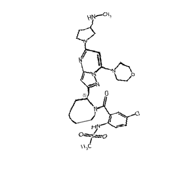 CNC1CCN(c2cc(N3CCOCC3)n3nc([C@@H]4CCCCN4C(=O)c4cc(Cl)ccc4NS(C)(=O)=O)cc3n2)C1